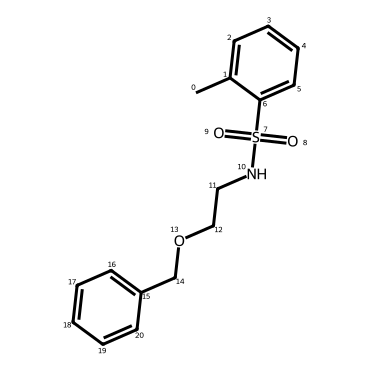 Cc1ccccc1S(=O)(=O)NCCOCc1ccccc1